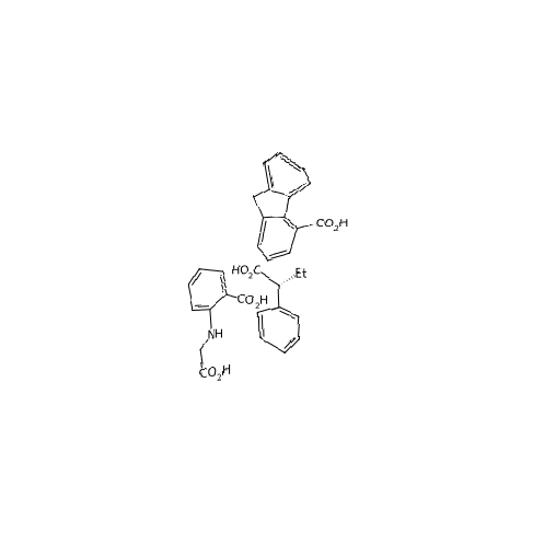 CC[C@@H](C(=O)O)c1ccccc1.O=C(O)CNc1ccccc1C(=O)O.O=C(O)c1cccc2c1-c1ccccc1C2